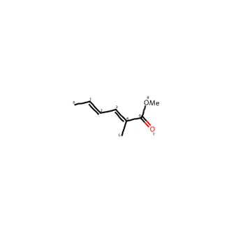 CC=CC=C(C)C(=O)OC